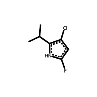 CC(C)c1[nH]c(F)cc1Cl